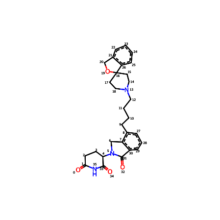 O=C1CCC(N2Cc3c(CCCCN4CCC5(CC4)OCc4ccccc45)cccc3C2=O)C(=O)N1